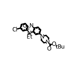 CCN(c1cccc(Cl)c1)c1cc(N2CCN(C(=O)OC(C)(C)C)CC2)ccc1[N+](=O)[O-]